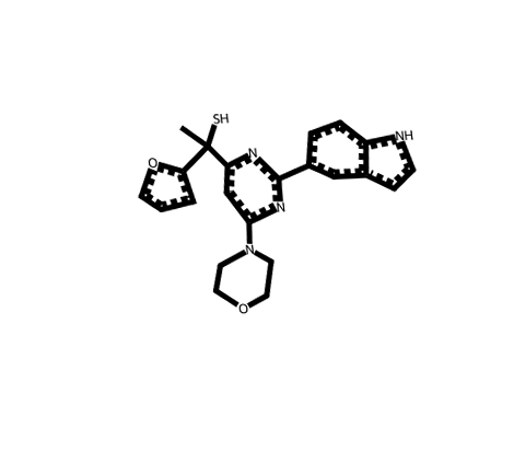 CC(S)(c1cc(N2CCOCC2)nc(-c2ccc3[nH]ccc3c2)n1)c1ccco1